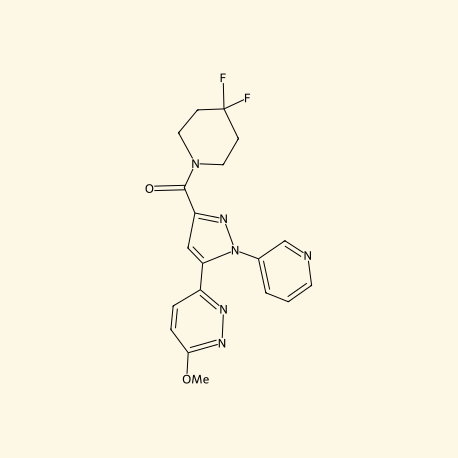 COc1ccc(-c2cc(C(=O)N3CCC(F)(F)CC3)nn2-c2cccnc2)nn1